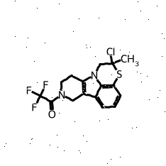 CC1(Cl)Cn2c3c(c4cccc(c42)S1)CN(C(=O)C(F)(F)F)CC3